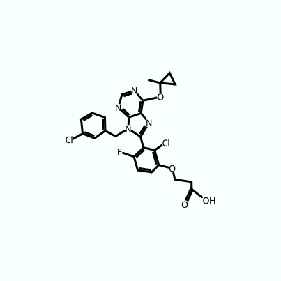 CC1(Oc2ncnc3c2nc(-c2c(F)ccc(OCCC(=O)O)c2Cl)n3Cc2cccc(Cl)c2)CC1